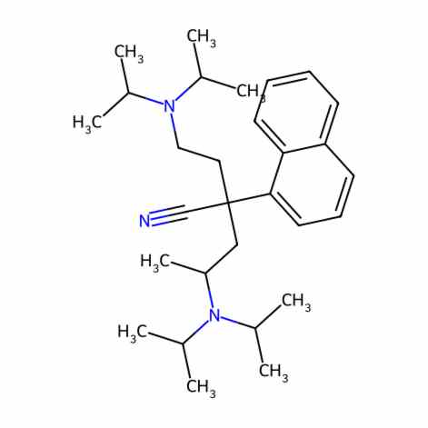 CC(C)N(CCC(C#N)(CC(C)N(C(C)C)C(C)C)c1cccc2ccccc12)C(C)C